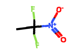 CC(F)(F)[N+](=O)[O-]